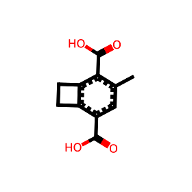 Cc1cc(C(=O)O)c2c(c1C(=O)O)CC2